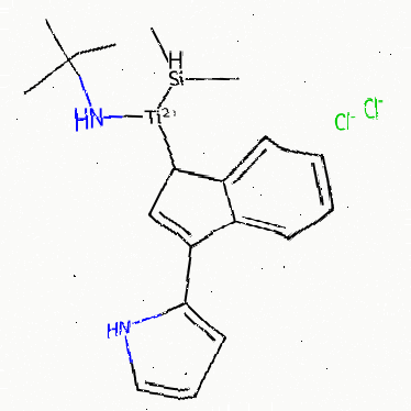 C[SiH](C)[Ti+2]([NH]C(C)(C)C)[CH]1C=C(c2ccc[nH]2)c2ccccc21.[Cl-].[Cl-]